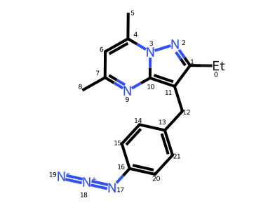 CCc1nn2c(C)cc(C)nc2c1Cc1ccc(N=[N+]=[N-])cc1